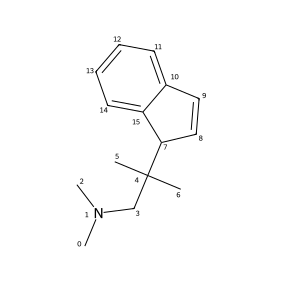 CN(C)CC(C)(C)C1C=Cc2ccccc21